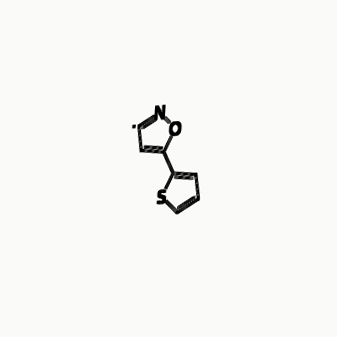 [c]1cc(-c2cccs2)on1